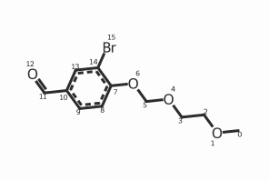 COCCOCOc1ccc(C=O)cc1Br